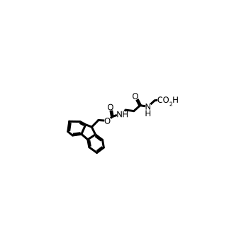 O=C(O)CNC(=O)CCNC(=O)OCC1c2ccccc2-c2ccccc21